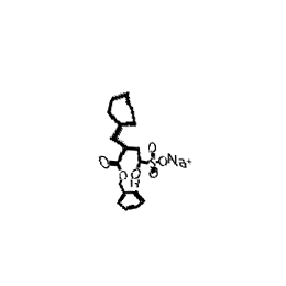 O=C(OCc1ccccc1)C(CC1CCCCC1)CC(O)S(=O)(=O)[O-].[Na+]